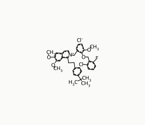 COc1cc2cc[n+](Cc3cccc(OC)c3OCc3c(F)cccc3Cl)c(CCc3ccc(C(C)(C)C)cc3)c2cc1OC.[Cl-]